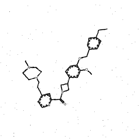 CCc1ccc(COc2ccc(C3CN(C(=O)c4cc(CCN5CCN(C)CC5)ccn4)C3)cc2OC)cc1